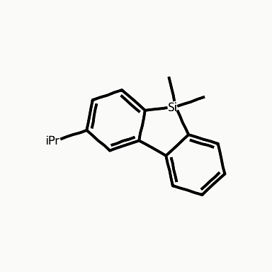 CC(C)c1ccc2c(c1)-c1ccccc1[Si]2(C)C